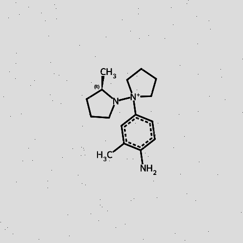 Cc1cc([N+]2(N3CCC[C@H]3C)CCCC2)ccc1N